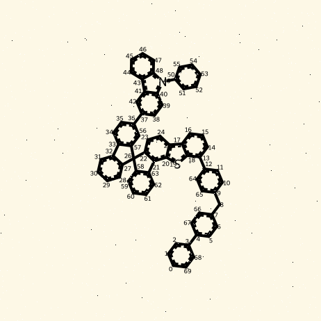 c1ccc(-c2ccc(Cc3ccc(-c4cccc5c4sc4c6c(ccc45)C4(c5ccccc5-c5ccc(-c7ccc8c(c7)c7ccccc7n8-c7ccccc7)cc54)c4ccccc4-6)cc3)cc2)cc1